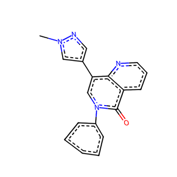 Cn1cc(-c2cn(-c3ccccc3)c(=O)c3cccnc23)cn1